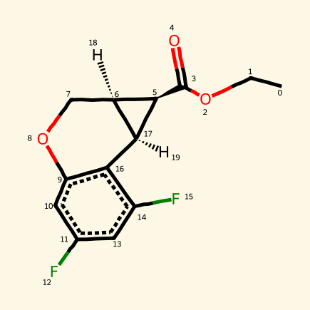 CCOC(=O)[C@@H]1[C@@H]2COc3cc(F)cc(F)c3[C@@H]21